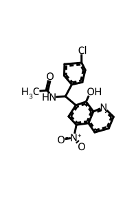 CC(=O)NC(c1ccc(Cl)cc1)c1cc([N+](=O)[O-])c2cccnc2c1O